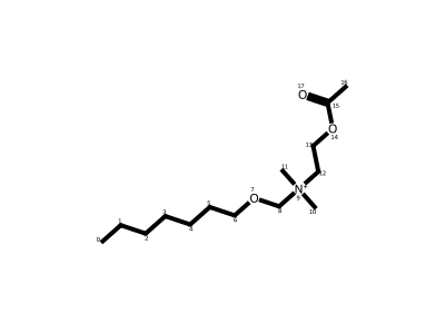 CCCCCCCOC[N+](C)(C)CCOC(C)=O